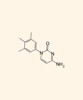 Cc1cc(-n2ccc(N)nc2=O)cc(C)c1C